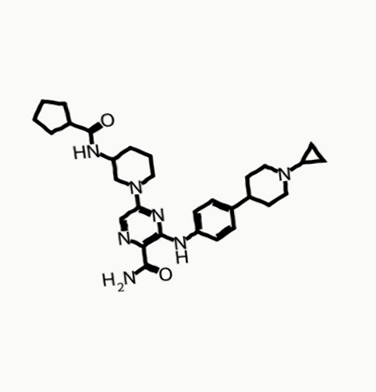 NC(=O)c1ncc(N2CCCC(NC(=O)C3CCCC3)C2)nc1Nc1ccc(C2CCN(C3CC3)CC2)cc1